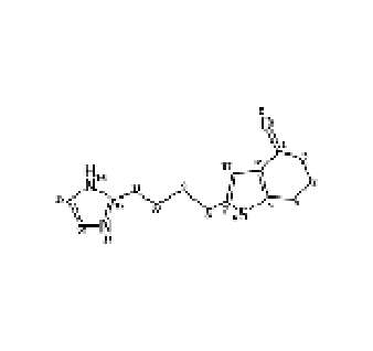 O=C1CCCc2sc(CCCCc3ncc[nH]3)cc21